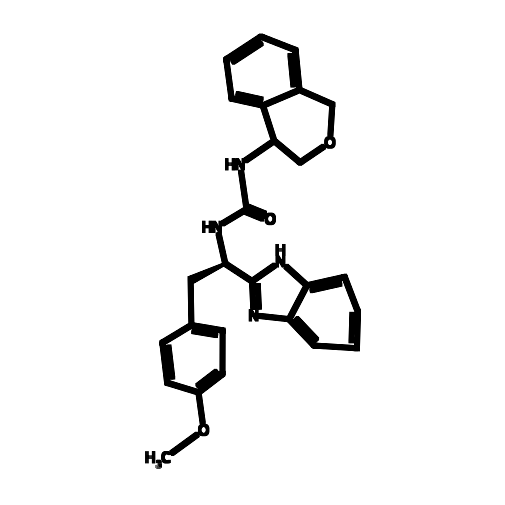 COc1ccc(C[C@@H](NC(=O)NC2COCc3ccccc32)c2nc3ccccc3[nH]2)cc1